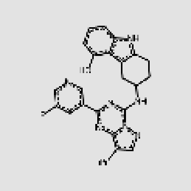 CC(C)c1cnn2c(NC3CCc4[nH]c5cccc(O)c5c4C3)nc(-c3cncc(F)c3)nc12